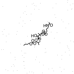 CCCCOC(=O)OC(OC(=O)[C@H](O)C(C)(C)COS(=O)(=O)CCCNC(C)=O)C(C)C